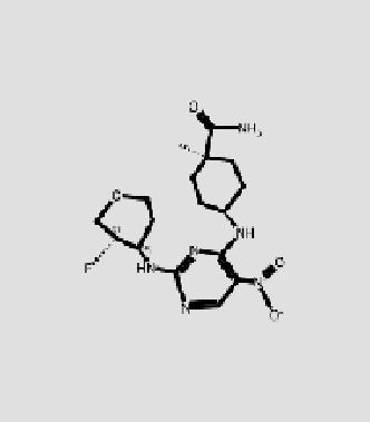 C[C@]1(C(N)=O)CC[C@@H](Nc2nc(N[C@@H]3CCOC[C@H]3F)ncc2[N+](=O)[O-])CC1